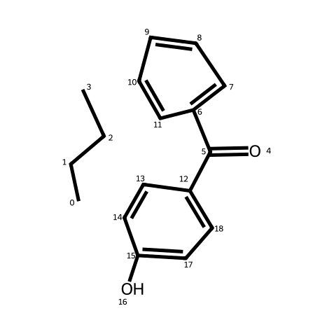 CCCC.O=C(c1ccccc1)c1ccc(O)cc1